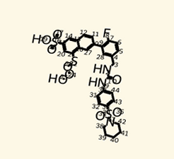 O=C(NCc1ccc(F)c(-c2ccc3cc(S(=O)(=O)O)cc(SOOO)c3c2)c1)Nc1ccc(S(=O)(=O)N2CCCCC2)cc1